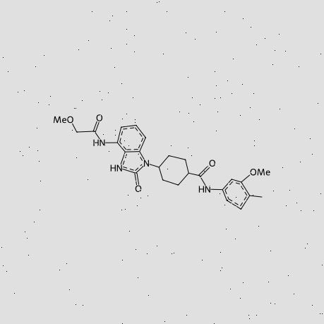 COCC(=O)Nc1cccc2c1[nH]c(=O)n2C1CCC(C(=O)Nc2ccc(C)c(OC)c2)CC1